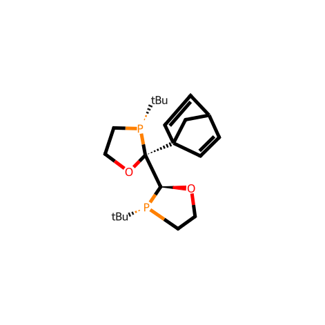 CC(C)(C)[P@@]1CCO[C@@]1([C@H]1OCC[P@]1C(C)(C)C)C12C=CC(C=C1)C2